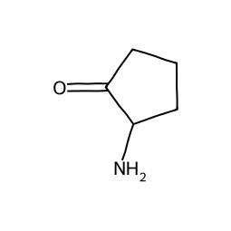 NC1CCCC1=O